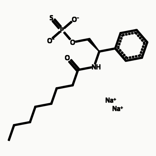 CCCCCCCC(=O)N[C@@H](COP([O-])([O-])=S)c1ccccc1.[Na+].[Na+]